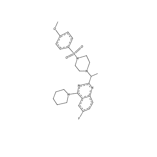 COc1ccc(S(=O)(=O)N2CCN(C(C)c3nc(N4CCCCC4)c4cc(F)ccc4n3)CC2)cc1